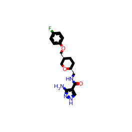 Nc1n[nH]cc1C(=O)NC[C@H]1CC[C@@H](COc2ccc(F)cc2)CO1